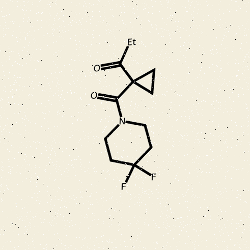 CCC(=O)C1(C(=O)N2CCC(F)(F)CC2)CC1